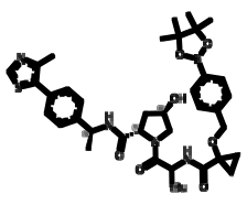 Cc1ncsc1-c1ccc([C@H](C)NC(=O)[C@@H]2C[C@@H](O)CN2C(=O)C(NC(=O)C2(OCc3ccc(B4OC(C)(C)C(C)(C)O4)cc3)CC2)C(C)(C)C)cc1